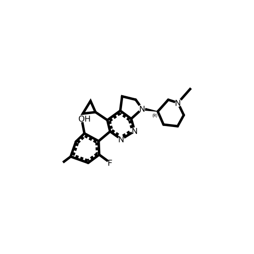 Cc1cc(O)c(-c2nnc3c(c2C2CC2)CCN3[C@@H]2CCCN(C)C2)c(F)c1